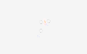 N#Cc1ccc(CCC(=O)N2CCCc3cccc(S(=O)(=O)c4ccccc4)c32)cc1